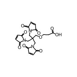 O=C(O)CCOCC(CN1C(=O)C=CC1=O)(CN1C(=O)C=CC1=O)CN1C(=O)C=CC1=O